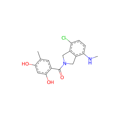 CNc1ccc(Cl)c2c1CN(C(=O)c1cc(C)c(O)cc1O)C2